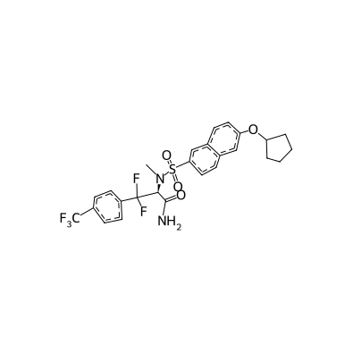 CN([C@@H](C(N)=O)C(F)(F)c1ccc(C(F)(F)F)cc1)S(=O)(=O)c1ccc2cc(OC3CCCC3)ccc2c1